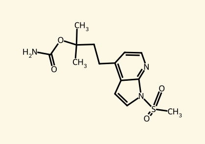 CC(C)(CCc1ccnc2c1ccn2S(C)(=O)=O)OC(N)=O